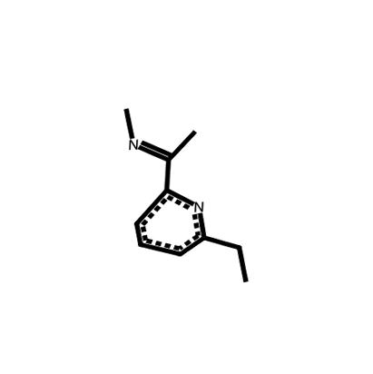 CCc1cccc(/C(C)=N/C)n1